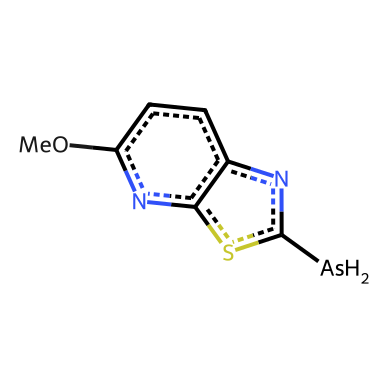 COc1ccc2nc([AsH2])sc2n1